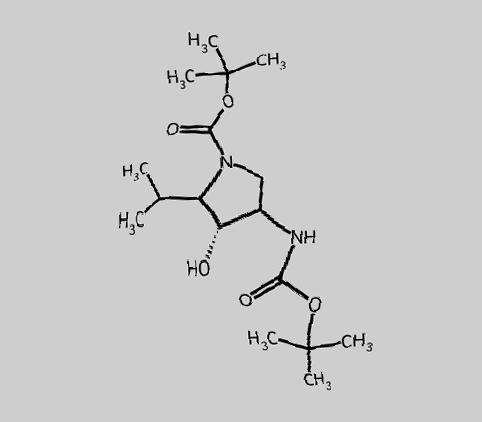 CC(C)C1[C@@H](O)C(NC(=O)OC(C)(C)C)CN1C(=O)OC(C)(C)C